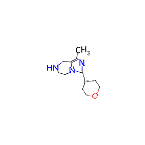 Cc1nc(C2CCOCC2)n2c1CNCC2